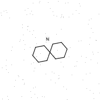 C1CCC2(CC1)CCCCC2.[N]